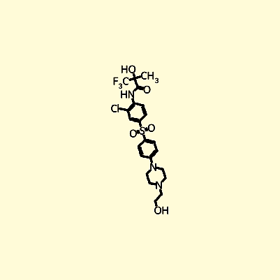 CC(O)(C(=O)Nc1ccc(S(=O)(=O)c2ccc(N3CCN(CCO)CC3)cc2)cc1Cl)C(F)(F)F